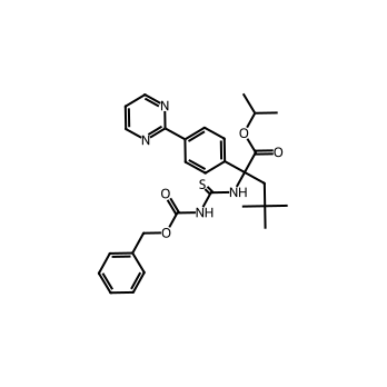 CC(C)OC(=O)C(CC(C)(C)C)(NC(=S)NC(=O)OCc1ccccc1)c1ccc(-c2ncccn2)cc1